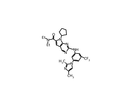 CCN(CC)C(=O)c1cc2cnc(Nc3cc(-n4cc(C)nc4C)cc(C(F)(F)F)c3)nc2n1C1CCCC1